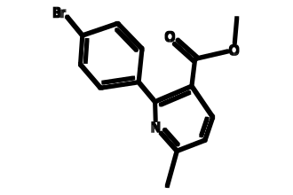 COC(=O)c1ccc(C)nc1-c1ccc(Br)cc1